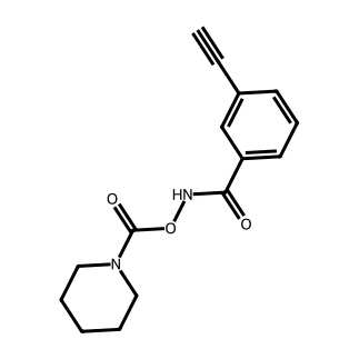 C#Cc1cccc(C(=O)NOC(=O)N2CCCCC2)c1